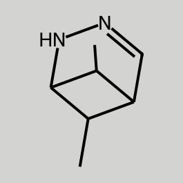 CC1C2C=NNC1C2C